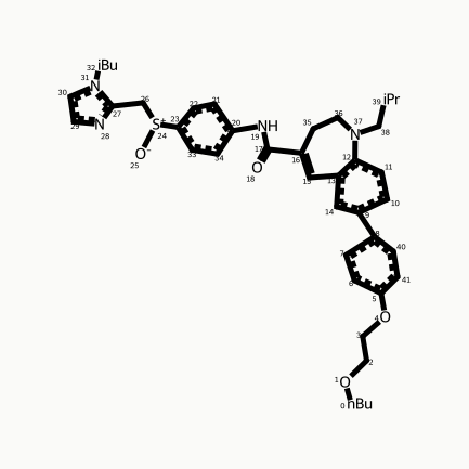 CCCCOCCOc1ccc(-c2ccc3c(c2)C=C(C(=O)Nc2ccc([S+]([O-])Cc4nccn4C(C)CC)cc2)CCN3CC(C)C)cc1